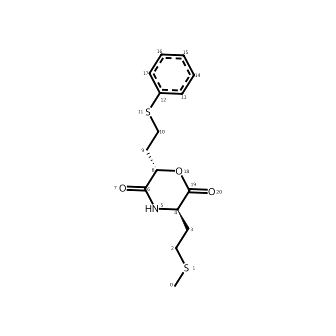 CSCC[C@H]1NC(=O)[C@H](CCSc2ccccc2)OC1=O